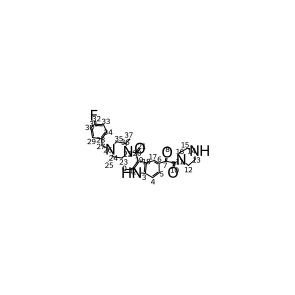 Cc1[nH]c2ccc(C(=O)C(=O)N3CCNCC3)cc2c1C(=O)N1C[C@H](C)N(Cc2ccc(F)cc2)C[C@H]1C